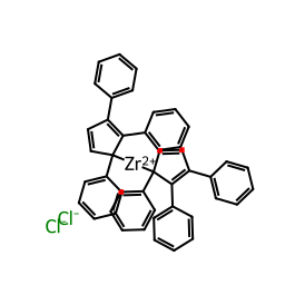 C1=C[C]([Zr+2][C]2(c3ccccc3)C=CC(c3ccccc3)=C2c2ccccc2)(c2ccccc2)C(c2ccccc2)=C1c1ccccc1.[Cl-].[Cl-]